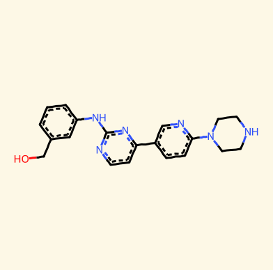 OCc1cccc(Nc2nccc(-c3ccc(N4CCNCC4)nc3)n2)c1